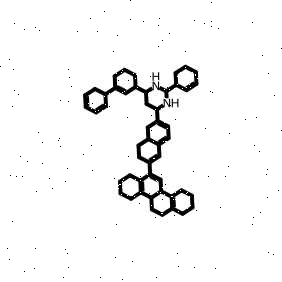 C1=CCC(C2=CC(C3CC(C4=CC=C5C=C(C6=CC7C8=C(CCCC8)CCC7C7=C6CCCC7)CCC5C4)NC(C4C=CCCC4)N3)CCC2)C=C1